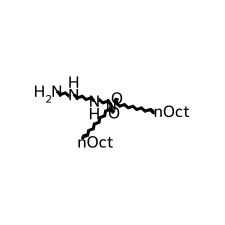 CCCCCCCCC=CCCCCCCCC(=O)N(CCCNCCCCNCCCN)C(=O)CCCCCCCC=CCCCCCCCC